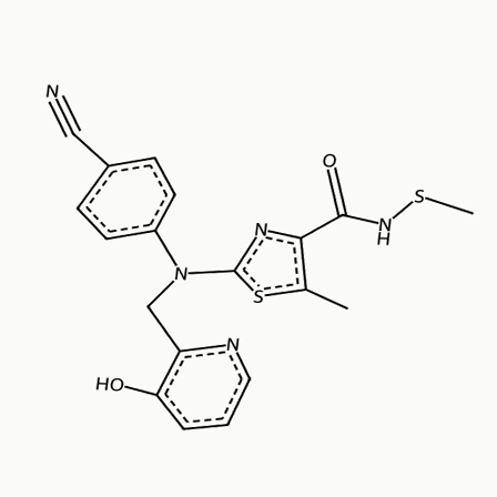 CSNC(=O)c1nc(N(Cc2ncccc2O)c2ccc(C#N)cc2)sc1C